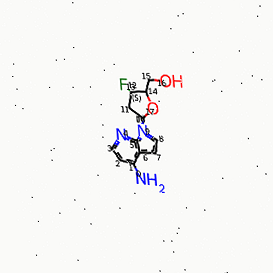 Nc1ccnc2c1ccn2[C@H]1C[C@H](F)C(CO)O1